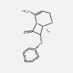 O=C(O)C1=CCS[C@H]2C(Sc3ccccc3)C(=O)N12